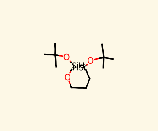 CC(C)(C)O[SiH]1CCCO[SiH]1OC(C)(C)C